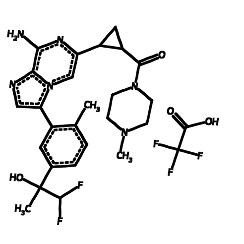 Cc1ccc(C(C)(O)C(F)F)cc1-c1cnc2c(N)nc(C3CC3C(=O)N3CCN(C)CC3)cn12.O=C(O)C(F)(F)F